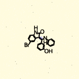 O=C1Nc2ccc(Br)cc2/C1=C(/Nc1ccccc1)c1cccc(O)c1